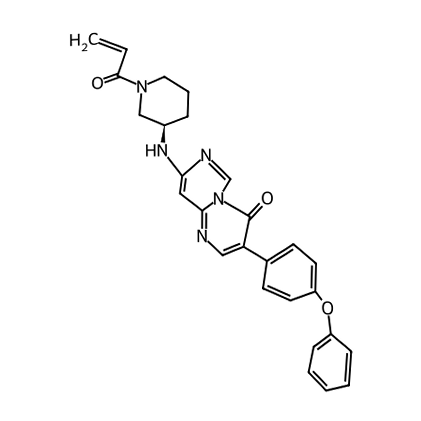 C=CC(=O)N1CCC[C@@H](Nc2cc3ncc(-c4ccc(Oc5ccccc5)cc4)c(=O)n3cn2)C1